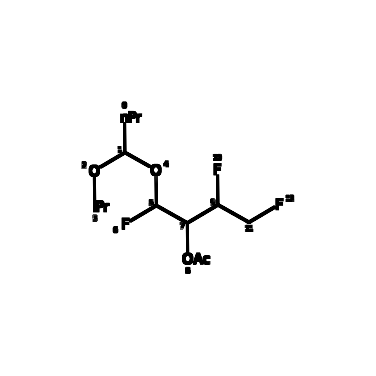 CCCC(OC(C)C)OC(F)C(OC(C)=O)C(F)CF